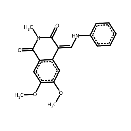 COc1cc2c(cc1OC)C(=CNc1ccccc1)C(=O)N(C)C2=O